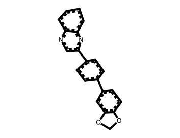 c1ccc2nc(-c3ccc(-c4ccc5c(c4)OCO5)cc3)cnc2c1